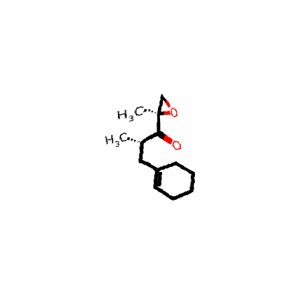 C[C@@H](CC1=CCCCC1)C(=O)[C@@]1(C)CO1